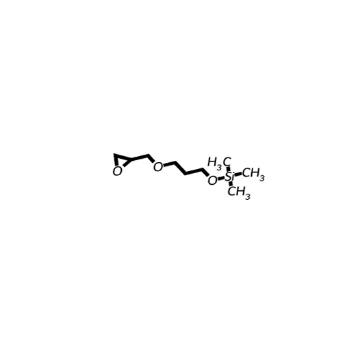 C[Si](C)(C)OCCCOCC1CO1